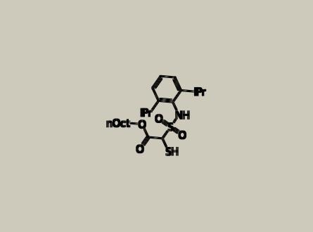 CCCCCCCCOC(=O)C(S)S(=O)(=O)Nc1c(C(C)C)cccc1C(C)C